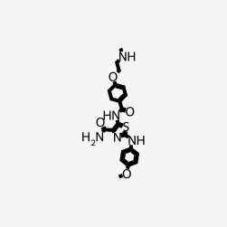 CNCCOC1=CC=C(C(=O)Nc2sc(Nc3ccc(OC)cc3)nc2C(N)=O)CC1